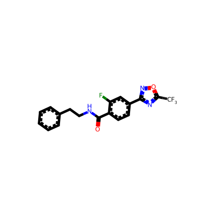 O=C(NCCc1ccccc1)c1ccc(-c2noc(C(F)(F)F)n2)cc1F